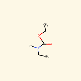 CCN(CC(C)(C)C)C(=O)OCC(F)(F)F